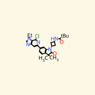 CCn1cnc2cc(-c3ccc4c(c3)N(C3CC(NC(=O)C(C)(C)C)C3)C(=O)C4(C)C)nc(Cl)c21